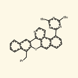 CC(C)Cc1c2c(cc3ccccc13)-c1nccc3c1c(cc1cccc(-c4nc(C(C)(C)C)nc(C(C)(C)C)n4)c13)O2